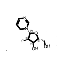 OC[C@H]1O[C@@H](N2C=NC=CC2)[C@H](F)[C@@H]1O